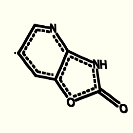 O=c1[nH]c2nc[c]cc2o1